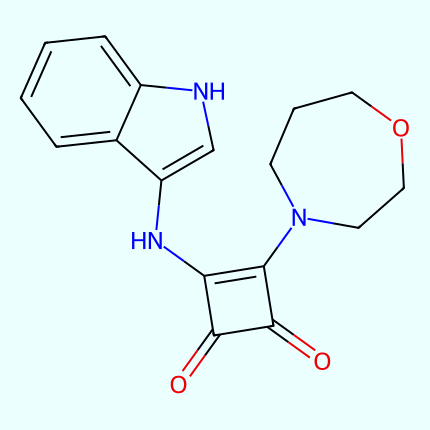 O=c1c(Nc2c[nH]c3ccccc23)c(N2CCCOCC2)c1=O